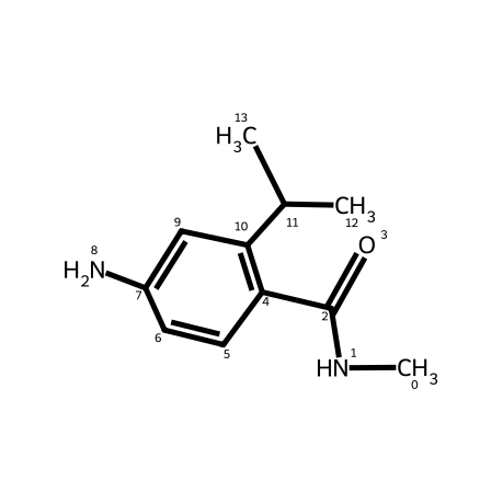 CNC(=O)c1ccc(N)cc1C(C)C